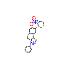 O=[N+]([O-])c1ccccc1-c1ccc2ccc3c(ccn3-c3ccccc3)c2c1